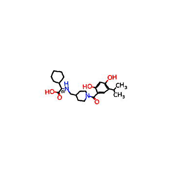 CC(C)c1cc(C(=O)N2CCC(CN[C@H](C(=O)O)C3CCCCC3)CC2)c(O)cc1O